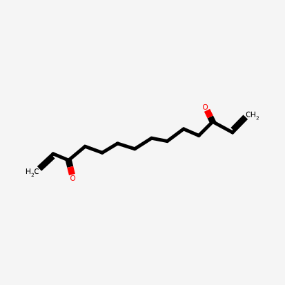 C=CC(=O)CCCCCCCCC(=O)C=C